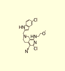 COCCNc1nc(Cl)c(C#N)c2c1CN(Cc1cc3cc(Cl)ccc3[nH]1)CC2